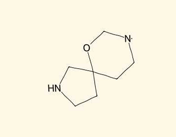 C1CC2(CCNC2)OC[N]1